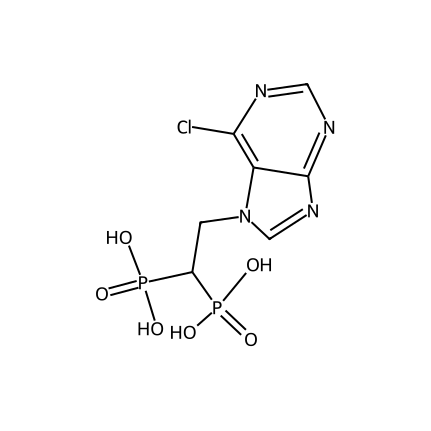 O=P(O)(O)C(Cn1cnc2ncnc(Cl)c21)P(=O)(O)O